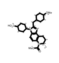 COC(=O)N1c2ccc3c(nc(CC4CCC(OC)CC4)n3C3CCC(C(=O)O)CC3)c2CC[C@@H]1C